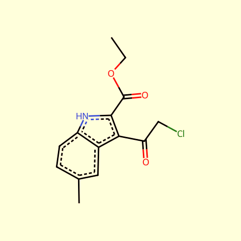 CCOC(=O)c1[nH]c2ccc(C)cc2c1C(=O)CCl